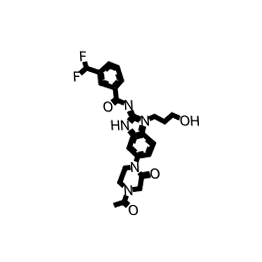 CC(=O)N1CCN(c2ccc3c(c2)[nH]/c(=N\C(=O)c2cccc(C(F)F)c2)n3CCCO)C(=O)C1